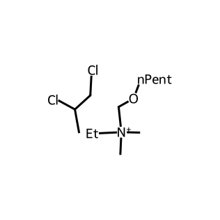 CC(Cl)CCl.CCCCCOC[N+](C)(C)CC